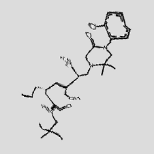 CCC[C@H](C[C@H](O)[C@@H](N)CN1CC(=O)N(c2ccccc2Cl)CC1(C)C)C(=O)NCC(C)(C)C